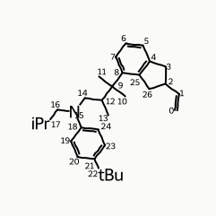 C=CC1Cc2cccc(C(C)(C)C(C)CN(CC(C)C)c3ccc(C(C)(C)C)cc3)c2C1